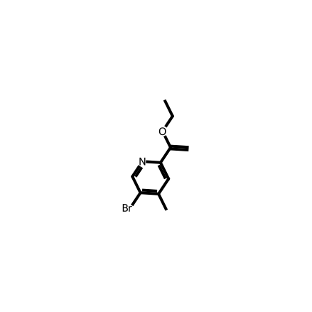 C=C(OCC)c1cc(C)c(Br)cn1